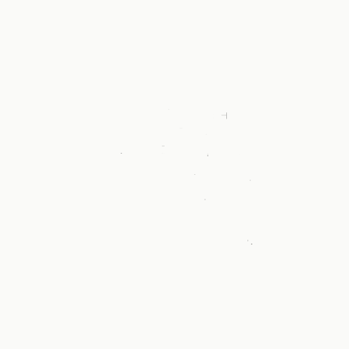 N#Cc1ccc(C(O)c2cc3ccccc3s2)cc1